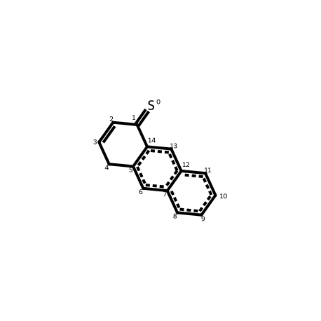 S=C1C=CCc2cc3ccccc3cc21